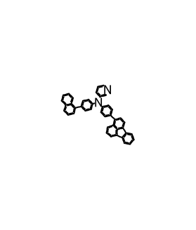 c1cncc(N(c2ccc(-c3cccc4ccccc34)cc2)c2ccc(-c3ccc4c5c(cccc35)-c3ccccc3-4)cc2)c1